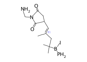 C/C(=C\C1CC(=O)N(CN)C1=O)CC(C)(C)B(P)I